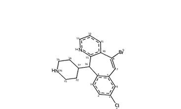 Clc1ccc2c(c1)C=C(Br)c1cccnc1C2C1CCNCC1